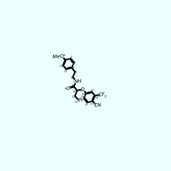 COc1ccc(CCNC(=O)C(CC(C)C)Oc2ccc(C#N)c(C(F)(F)F)c2)cc1